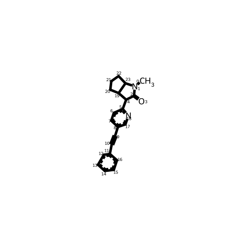 CN1C(=O)C(c2ccc(C#Cc3ccccc3)cn2)C2CCCC21